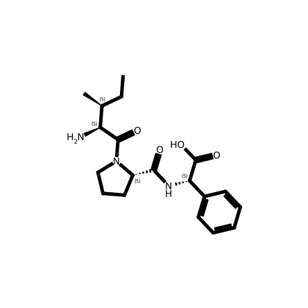 CC[C@H](C)[C@H](N)C(=O)N1CCC[C@H]1C(=O)N[C@H](C(=O)O)c1ccccc1